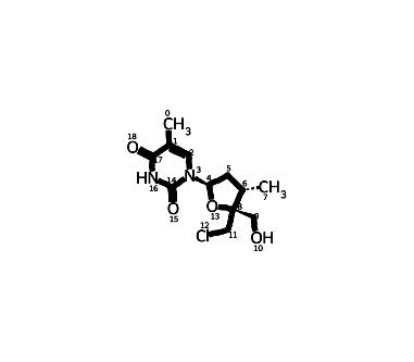 Cc1cn([C@H]2C[C@H](C)[C@](CO)(CCl)O2)c(=O)[nH]c1=O